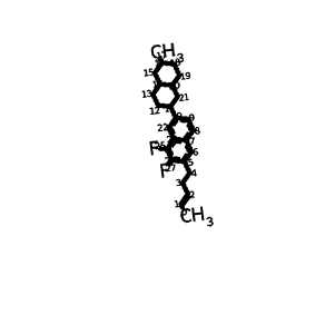 CC=CCCc1cc2ccc(C3CCC4CC(C)CCC4C3)cc2c(F)c1F